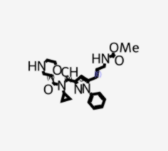 COC(=O)NC/C=C/c1cc([C@@H](C)N(C(=O)[C@H]2CNCCO2)C2CC2)nn1-c1ccccc1